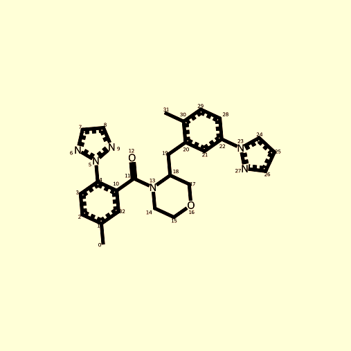 Cc1ccc(-n2nccn2)c(C(=O)N2CCOCC2Cc2cc(-n3cccn3)ccc2C)c1